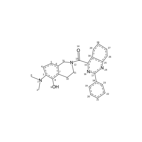 CN(C)c1ccc2c(c1O)CCN(C(=O)c1nc(-c3ccccc3)nc3ccccc13)C2